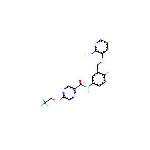 Nc1ncccc1NCc1cc(NC(=O)c2cnc(OCC(F)(F)F)cn2)ccc1F